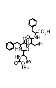 CC(C)CC(NC(=O)OC(C)(C)C)C(=O)NC(Cc1ccccc1)C(=O)NC(CC(C)C)C(=O)NC(Cc1ccccc1)C(=O)O